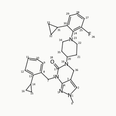 Cn1cc2c(n1)N(Cc1ccccc1C1CC1)C(=O)N(C1CCN(c3c(F)cccc3C3CC3)CC1)C2